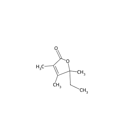 CCC1(C)OC(=O)C(C)=C1C